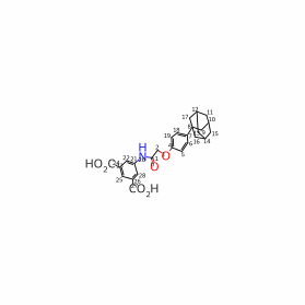 O=C(COc1ccc(C23CC4CC(CC(C4)C2)C3)cc1)Nc1cc(C(=O)O)cc(C(=O)O)c1